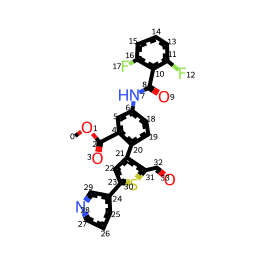 COC(=O)c1cc(NC(=O)c2c(F)cccc2F)ccc1-c1cc(-c2cccnc2)sc1C=O